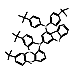 CC(C)(C)c1ccc(N(c2ccc(C(C)(C)C)cc2)c2cc(N3c4ccc(C(C)(C)C)cc4B4c5cc(C(C)(C)C)ccc5Oc5cccc3c54)cc3oc4ccccc4c23)cc1